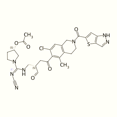 CC(=O)O[C@H]1CCN(/C(=N/C#N)NC[C@@H](C=O)CC(=O)c2c(Cl)cc3c(c2C)CCN(C(=O)c2cc4[nH]ncc4s2)C3)C1